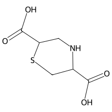 O=C(O)C1CSC(C(=O)O)CN1